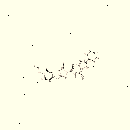 CCCc1ncc(CN2CC(C)C(C3=NC4=CN(C5CCOCC5)CN4C(=O)N3)C2)cn1